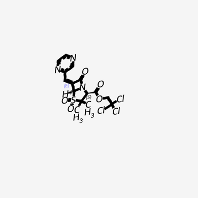 CC1(C)[C@H](C(=O)OCC(Cl)(Cl)Cl)N2C(=O)/C(=C\c3cnccn3)[C@H]2S1(=O)=O